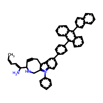 C/C=C\C=C(/N)C1C#CCc2c(n(-c3ccccc3)c3ccc(-c4ccc(-c5c6ccccc6c(-c6ccc7ccccc7c6)c6ccccc56)cc4)cc23)CN1